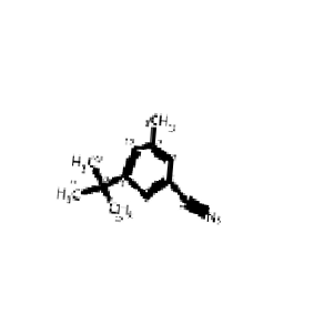 Cc1cc(C#N)cc(C(C)(C)C)c1